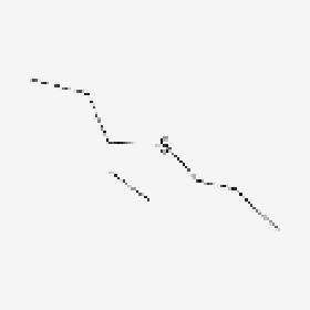 CC.CCCSCCC